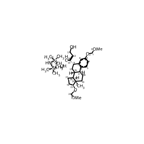 COCOc1ccc2c(c1)[C@@H](C(C)=CCO)C[C@@H]1[C@@H]2CC[C@]2(C)[C@@H](OCOC)CC[C@@H]12.C[Si](C)(C)N[Si](C)(C)C.[LiH]